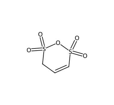 O=S1(=O)C=CCS(=O)(=O)O1